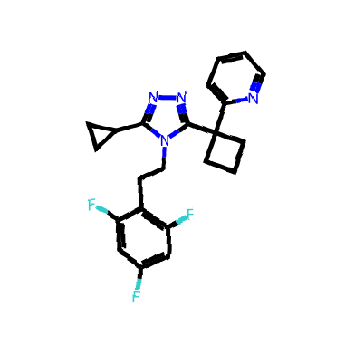 Fc1cc(F)c(CCn2c(C3CC3)nnc2C2(c3ccccn3)CCC2)c(F)c1